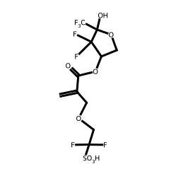 C=C(COCC(F)(F)S(=O)(=O)O)C(=O)OC1COC(O)(C(F)(F)F)C1(F)F